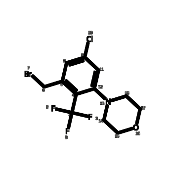 FC(F)(F)c1c(CBr)cc(Cl)cc1N1CCOCC1